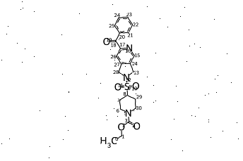 CCOC(=O)N1CCC(S(=O)(=O)N2Cc3cnc(C(=O)c4ccccc4)cc3C2)CC1